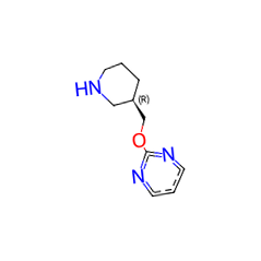 c1cnc(OC[C@@H]2CCCNC2)nc1